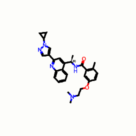 Cc1ccc(OCCN(C)C)cc1C(=O)N[C@H](C)c1cc(-c2cnn(C3CC3)c2)nc2ccccc12